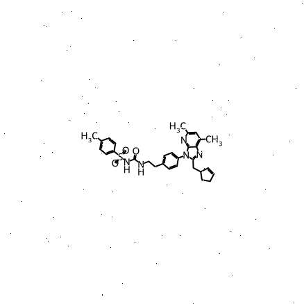 Cc1ccc(S(=O)(=O)NC(=O)NCCc2ccc(-n3c(CC4C=CCC4)nc4c(C)cc(C)nc43)cc2)cc1